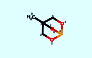 CC12COP(OC1)OC2